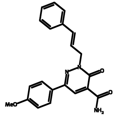 COc1ccc(-c2cc(C(N)=O)c(=O)n(C/C=C/c3ccccc3)n2)cc1